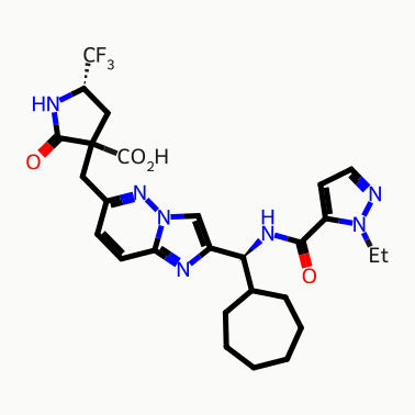 CCn1nccc1C(=O)N[C@H](c1cn2nc(CC3(C(=O)O)C[C@@H](C(F)(F)F)NC3=O)ccc2n1)C1CCCCCC1